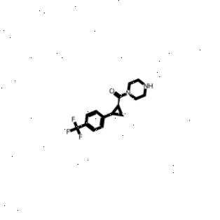 O=C([C@H]1CC1c1ccc(C(F)(F)F)cc1)N1CCNCC1